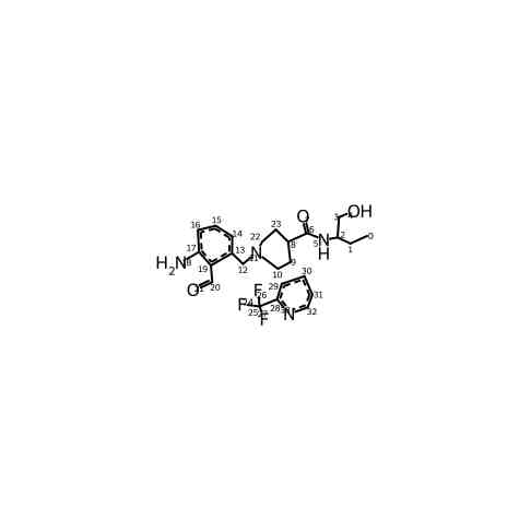 CCC(CO)NC(=O)C1CCN(Cc2cccc(N)c2C=O)CC1.FC(F)(F)c1ccccn1